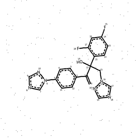 C=C(c1ccc(-n2cncn2)cc1)C(O)(Cn1cncn1)c1ccc(F)cc1F